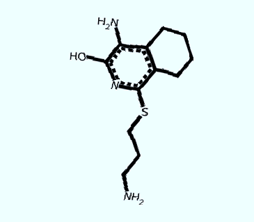 NCCCSc1nc(O)c(N)c2c1CCCC2